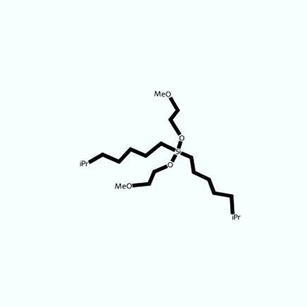 COCCO[Si](CCCCCC(C)C)(CCCCCC(C)C)OCCOC